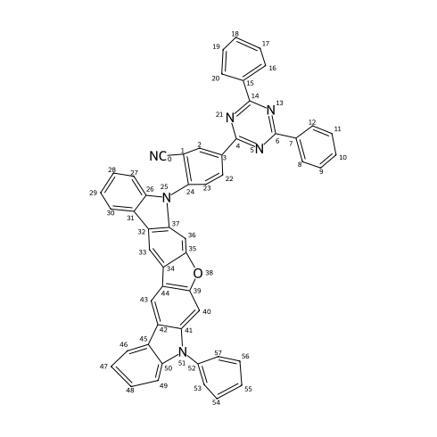 N#Cc1cc(-c2nc(-c3ccccc3)nc(-c3ccccc3)n2)ccc1-n1c2ccccc2c2cc3c(cc21)oc1cc2c(cc13)c1ccccc1n2-c1ccccc1